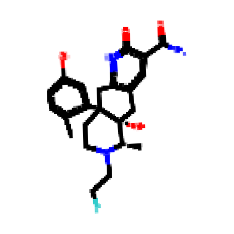 Cc1ccc(O)cc1[C@]12CCN(CCF)[C@H](C)[C@]1(O)Cc1cc(C(N)=O)c(=O)[nH]c1C2